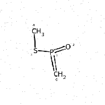 C=P(=O)SC